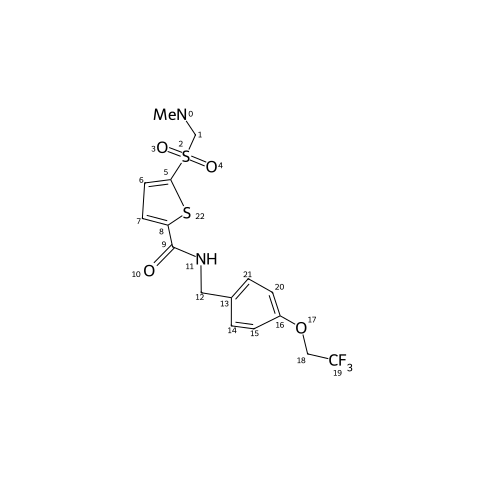 CNCS(=O)(=O)c1ccc(C(=O)NCc2ccc(OCC(F)(F)F)cc2)s1